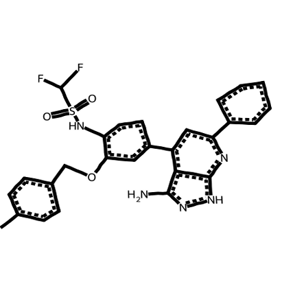 Nc1n[nH]c2nc(-c3ccccc3)cc(-c3ccc(NS(=O)(=O)C(F)F)c(OCc4ccc(F)cc4)c3)c12